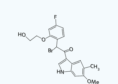 COc1cc2[nH]cc(C(=O)C(Br)c3ccc(F)cc3OCCO)c2cc1C